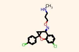 CNCCCON=C1c2ccc(Cl)cc2OC2(c3ccc(Cl)cc3)CC12